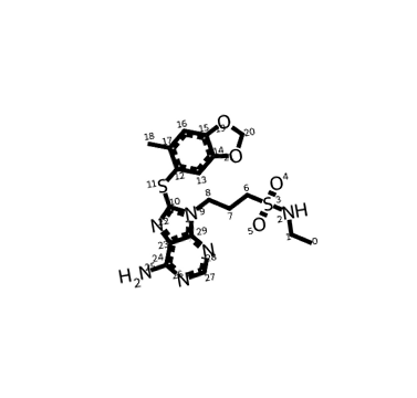 CCNS(=O)(=O)CCCn1c(Sc2cc3c(cc2C)OCO3)nc2c(N)ncnc21